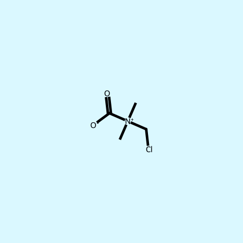 C[N+](C)(CCl)C(=O)[O-]